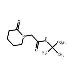 CC(C)(NC(=O)CN1CCCCC1=O)C(=O)O